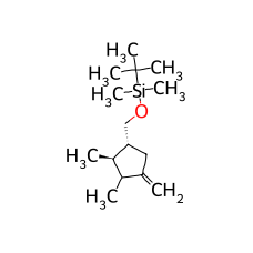 C=C1C[C@@H](CO[Si](C)(C)C(C)(C)C)[C@H](C)C1C